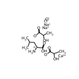 CC(C)C[C@H](N)C(=O)O.CC(O)C(=O)[O-].CC(O)C(=O)[O-].[Ca+2].[Cl-].[Cl-].[Na+].[Na+]